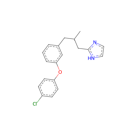 C[C](Cc1cccc(Oc2ccc(Cl)cc2)c1)Cc1ncc[nH]1